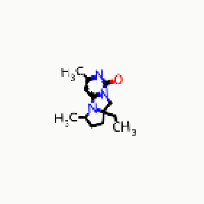 CCC12CCC(C)N1c1cc(C)nc(=O)n1C2